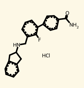 Cl.NC(=O)c1ccc(-c2cccc(CNC3Cc4ccccc4C3)c2F)cc1